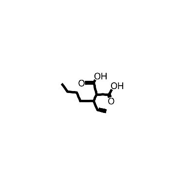 C=CC(CCCC)C(C(=O)O)C(=O)O